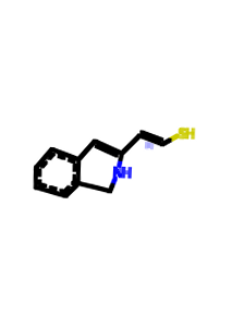 S/C=C/C1=Cc2ccccc2CN1